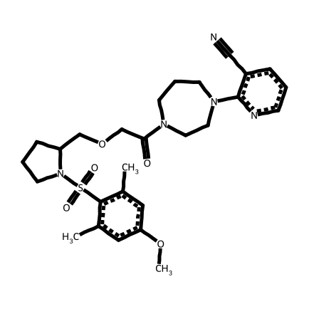 COc1cc(C)c(S(=O)(=O)N2CCCC2COCC(=O)N2CCCN(c3ncccc3C#N)CC2)c(C)c1